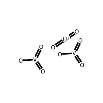 [O]=[U+2]=[O].[O]=[V](=[O])[O-].[O]=[V](=[O])[O-]